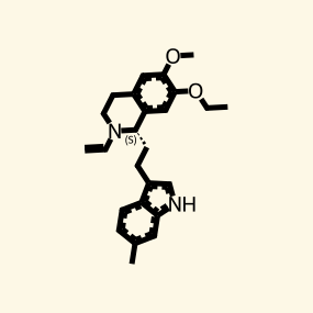 C=CN1CCc2cc(OC)c(OCC)cc2[C@@H]1CCc1c[nH]c2cc(C)ccc12